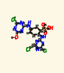 COc1nc(Cl)nc(Nc2ccc(Nc3nc(Cl)nc(Cl)n3)c(S(=O)(=O)O)c2)n1